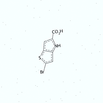 O=C(O)c1cc2sc(Br)cc2[nH]1